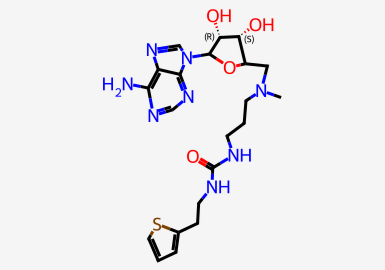 CN(CCCNC(=O)NCCc1cccs1)CC1OC(n2cnc3c(N)ncnc32)[C@H](O)[C@@H]1O